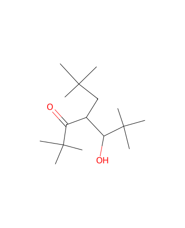 CC(C)(C)CC(C(=O)C(C)(C)C)C(O)C(C)(C)C